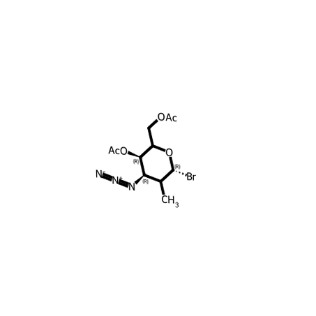 CC(=O)OCC1O[C@H](Br)C(C)[C@@H](N=[N+]=[N-])[C@H]1OC(C)=O